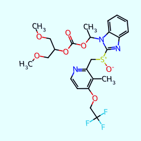 COCC(COC)OC(=O)OC(C)n1c([S+]([O-])Cc2nccc(OCC(F)(F)F)c2C)nc2ccccc21